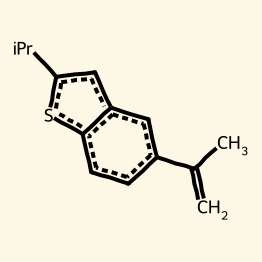 C=C(C)c1ccc2sc(C(C)C)cc2c1